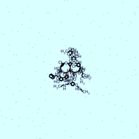 CCCNCCOc1ccc(OCCNCCC)c(NC(=O)NC(=O)C[C@@H]2CC(=O)[C@H](NC(=O)[C@H](CC)CC(C)C)[C@H](O)c3ccc(c(Cl)c3)Oc3cc4cc(c3O[C@@H]3O[C@H](CO)[C@@H](O)[C@H](O)[C@H]3O[C@H]3C[C@](C)(N)[C@H](O)[C@H](C)O3)Oc3ccc(cc3Cl)[C@@H](O)[C@@H]3NC(=O)[C@H](CC(=O)[C@@H]4NC2=O)c2ccc(O)c(c2)-c2c(O)cc(O)cc2[C@@H](C(=O)CC2C4CC5CC(C4)CC2C5)NC3=O)c1